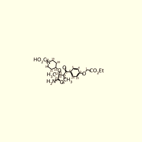 CCOC(=O)COc1ccc(C(=O)C(C)[C@](C)(OC2CCN(C(=O)O)CC2)C(N)=O)cc1